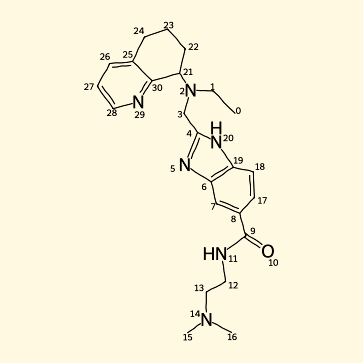 CCN(Cc1nc2cc(C(=O)NCCN(C)C)ccc2[nH]1)C1CCCc2cccnc21